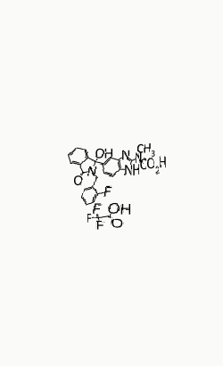 CN(C(=O)O)c1nc2cc(C3(O)c4ccccc4C(=O)N3Cc3ccccc3F)ccc2[nH]1.O=C(O)C(F)(F)F